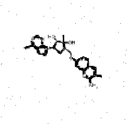 Cc1cc2ccc(OC[C@H]3C[C@@H](n4ccc5c(C)ncnc54)[C@H](O)[C@]3(C)O)cc2nc1N